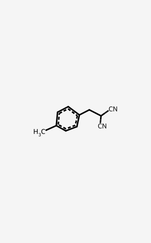 Cc1ccc(CC(C#N)C#N)cc1